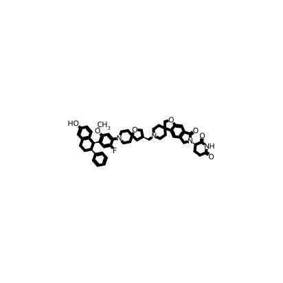 COc1cc(N2CCC3(CC2)C[C@H](CN2CCC4(CC2)COc2cc5c(cc24)CN([C@H]2CCC(=O)NC2=O)C5=O)CO3)c(F)cc1[C@@H]1c2ccc(O)cc2CC[C@@H]1c1ccccc1